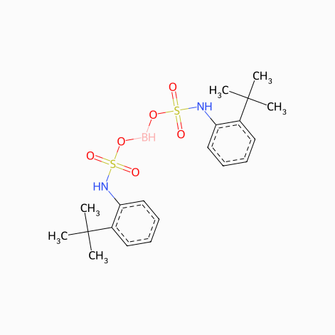 CC(C)(C)c1ccccc1NS(=O)(=O)OBOS(=O)(=O)Nc1ccccc1C(C)(C)C